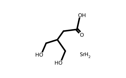 O=C(O)CC(CO)CO.[SrH2]